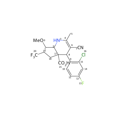 COCC1NC(C)=C(C#N)C(c2ccc(F)cc2Cl)C1(CCC(F)(F)F)C(=O)O